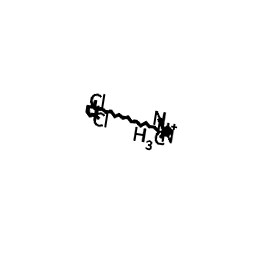 CC1=NC=C[N+]1(C#N)CCCCCCCCCCCCCCc1c(Cl)cccc1Cl